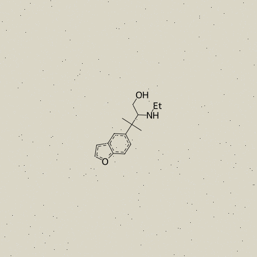 CCNC(CO)C(C)(C)c1ccc2occc2c1